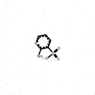 Nc1ncccc1S(=O)(=O)Cl